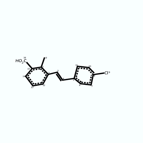 Cc1c(/C=C/c2ccc(Cl)cc2)cccc1C(=O)O